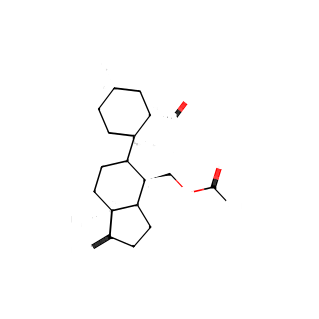 C=C1CCC2[C@H](COC(C)=O)C([C@@]3(C)CC[C@H](C)C[C@@H]3C=O)CC[C@]12C